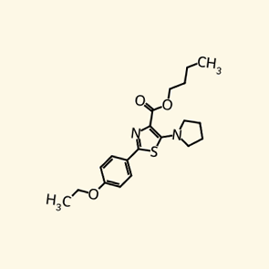 CCCCOC(=O)c1nc(-c2ccc(OCC)cc2)sc1N1CCCC1